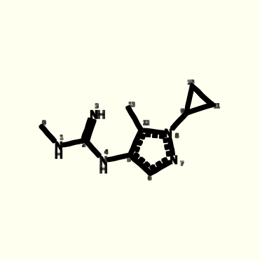 CNC(=N)Nc1cnn(C2CC2)c1C